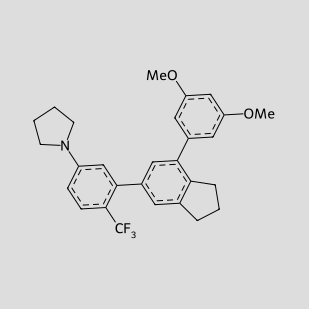 COc1cc(OC)cc(-c2cc(-c3cc(N4CCCC4)ccc3C(F)(F)F)cc3c2CCC3)c1